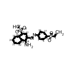 C=CS(=O)(=O)c1ccc(N=Nc2cc(S(=O)(=O)O)c3ccccc3c2N)cc1